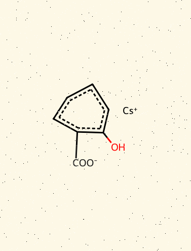 O=C([O-])c1ccccc1O.[Cs+]